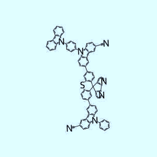 N#Cc1ccc2c(c1)c1cc(-c3ccc4c(c3)Sc3ccc(-c5ccc6c(c5)c5cc(C#N)ccc5n6-c5ccccc5)cc3C43c4cccnc4-c4ncccc43)ccc1n2-c1ccc(-n2c3ccccc3c3ccccc32)cc1